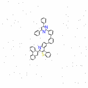 c1ccc(-c2cc(-c3ccccc3)nc(-c3cccc(-c4cccc(-c5ccc6nc(-c7cc8ccccc8c8ccccc78)c7sc8ccccc8c7c6c5)c4)c3)n2)cc1